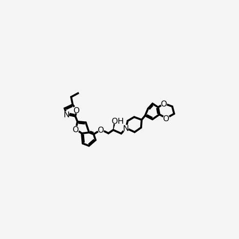 CCc1cnc(-c2cc3c(OC[C@@H](O)CN4CCC(c5ccc6c(c5)OCCO6)CC4)cccc3o2)o1